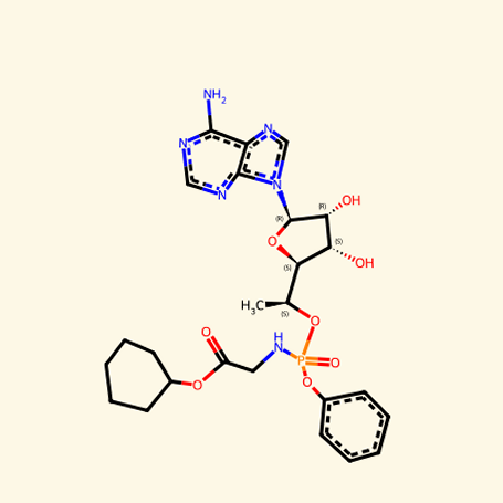 C[C@H](OP(=O)(NCC(=O)OC1CCCCC1)Oc1ccccc1)[C@H]1O[C@@H](n2cnc3c(N)ncnc32)[C@H](O)[C@@H]1O